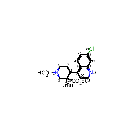 CCOC(=O)C1(C(C)(C)C)CN(C(=O)O)CCC1c1ccnc2cc(Cl)ccc12